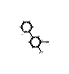 Brc1ccc(-c2c[c]ccn2)cc1Br